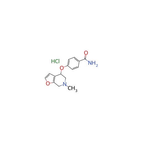 CN1Cc2occc2C(Oc2ccc(C(N)=O)cc2)C1.Cl